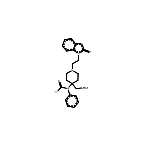 CCC(=O)N(c1ccccc1)C1(COC)CCN(CCn2c(=O)oc3ccccc32)CC1